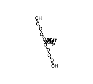 CS(=O)(=O)O.CS(=O)(=O)O.OCCOCCOCCOCCOCCOCCOCCOCCOCCO